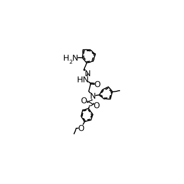 CCOc1ccc(S(=O)(=O)N(CC(=O)N/N=C/c2ccccc2N)c2ccc(C)cc2)cc1